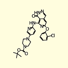 CC(C)(C)OC(=O)N1CCN(c2ccc(Nc3nc(Oc4ccccc4Cl)cc4cn[nH]c(=O)c34)nc2)CC1